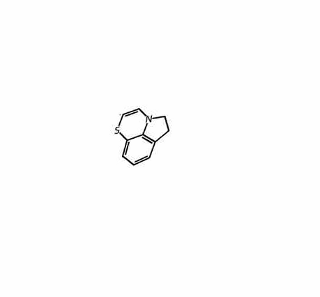 [C]1=CN2CCc3cccc(c32)S1